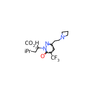 CC(C)C[C@@H](C(=O)O)n1nc(CCN2CCC2)cc(C(F)(F)F)c1=O